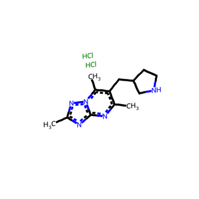 Cc1nc2nc(C)c(CC3CCNC3)c(C)n2n1.Cl.Cl